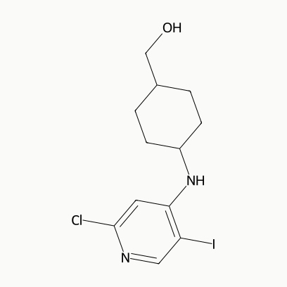 OCC1CCC(Nc2cc(Cl)ncc2I)CC1